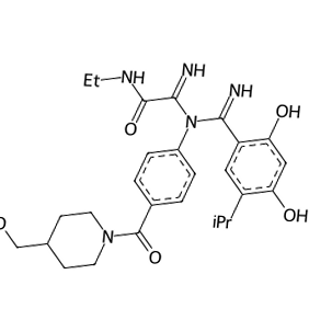 CCNC(=O)C(=N)N(C(=N)c1cc(C(C)C)c(O)cc1O)c1ccc(C(=O)N2CCC(CO)CC2)cc1